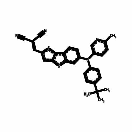 Cc1ccc(N(c2ccc(C(C)(C)C)cc2)c2ccc3c(c2)sc2cc(C=C(C#N)C#N)sc23)cn1